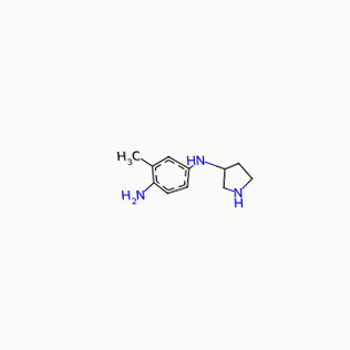 Cc1cc(NC2CCNC2)ccc1N